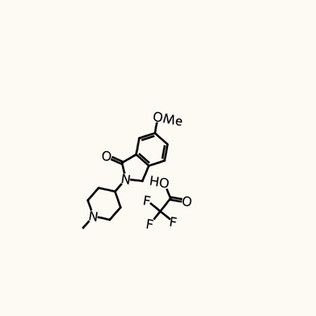 COc1ccc2c(c1)C(=O)N(C1CCN(C)CC1)C2.O=C(O)C(F)(F)F